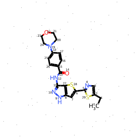 CCc1cnc(-c2cc3[nH]nc(NC(=O)c4ccc(N5CCOCC5)cc4)c3s2)s1